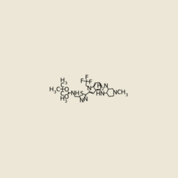 CN1CC[C@@H](Nc2cccc3c2cc(-c2nnc(CNC(=O)OC(C)(C)C)s2)n3CC(F)(F)F)[C@@H](N)C1